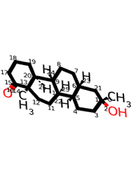 C[C@@]1(O)CC[C@H]2[C@H](CC[C@@H]3[C@@H]2CC[C@]2(C)C(=O)CCC[C@@H]32)C1